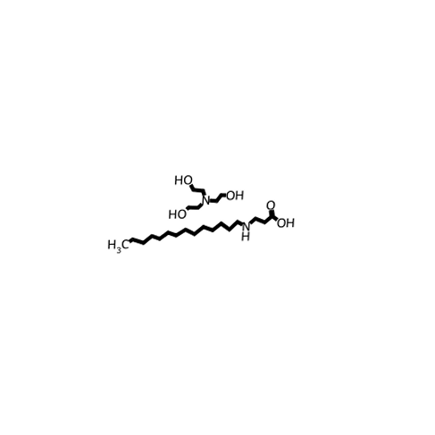 CCCCCCCCCCCCCCNCCC(=O)O.OCCN(CCO)CCO